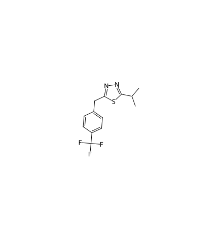 CC(C)c1nnc(Cc2ccc(C(F)(F)F)cc2)s1